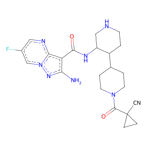 N#CC1(C(=O)N2CCC(C3CCNCC3NC(=O)c3c(N)nn4cc(F)cnc34)CC2)CC1